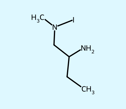 CCC(N)CN(C)I